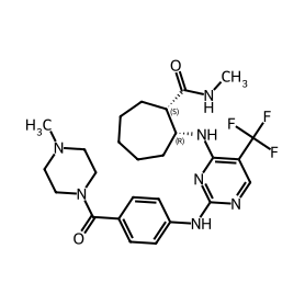 CNC(=O)[C@H]1CCCCC[C@H]1Nc1nc(Nc2ccc(C(=O)N3CCN(C)CC3)cc2)ncc1C(F)(F)F